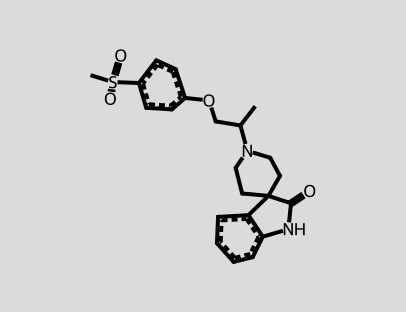 CC(COc1ccc(S(C)(=O)=O)cc1)N1CCC2(CC1)C(=O)Nc1ccccc12